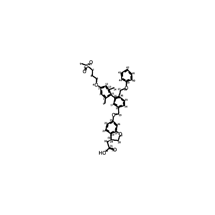 Cc1cc(OCCCS(C)(=O)=O)cc(C)c1-c1cc(COc2ccc3c(c2)OC[C@H]3CC(=O)O)ccc1COc1ccccc1